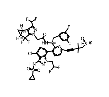 CC(C)(C#Cc1ccc(-c2ccc(Cl)c3c(NS(=O)(=O)C4CC4)nn(CC(F)F)c23)c([C@H](Cc2cc(F)cc(F)c2)NC(=O)Cn2nc(C(F)F)c3c2C(F)(F)[C@@H]2C[C@H]32)n1)C[SH](=O)=O